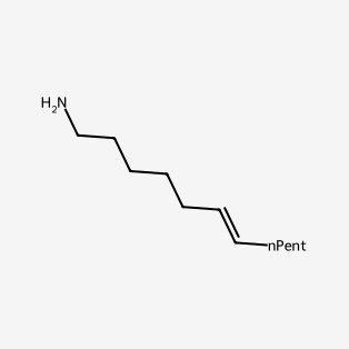 CCCCCC=CCCCCCN